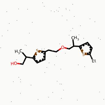 CCc1ccc(C(C)COCCc2ccc(C(C)CO)s2)s1